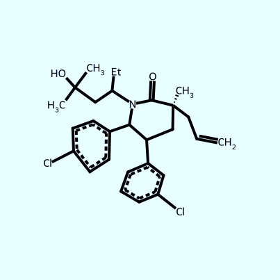 C=CC[C@@]1(C)CC(c2cccc(Cl)c2)C(c2ccc(Cl)cc2)N(C(CC)CC(C)(C)O)C1=O